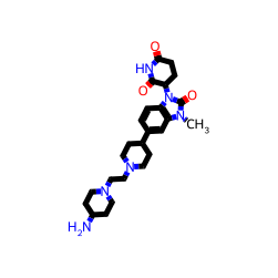 Cn1c(=O)n(C2CCC(=O)NC2=O)c2ccc(C3CCN(CCN4CCC(N)CC4)CC3)cc21